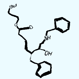 CC(C)(C)CCOC(=O)C/C=C/[C@@H](Cc1ccccc1)[C@H](O)CNCc1ccccc1